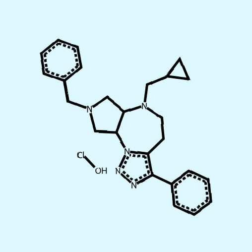 OCl.c1ccc(CN2CC3C(C2)n2nnc(-c4ccccc4)c2CCN3CC2CC2)cc1